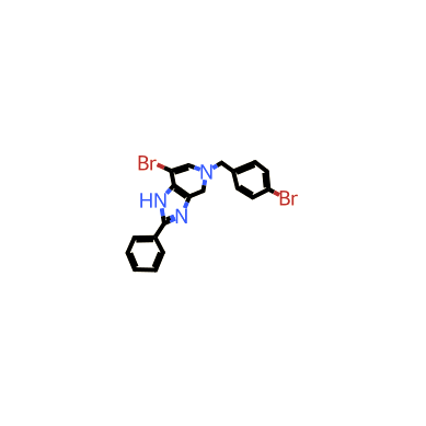 BrC1=CN(Cc2ccc(Br)cc2)Cc2nc(-c3ccccc3)[nH]c21